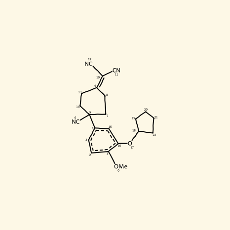 COc1ccc(C2(C#N)CCC(=C(C#N)C#N)CC2)cc1OC1CCCC1